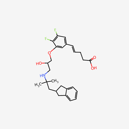 CC(C)(CC1Cc2ccccc2C1)NCC(O)COc1cc(C=CCCC(=O)O)cc(F)c1F